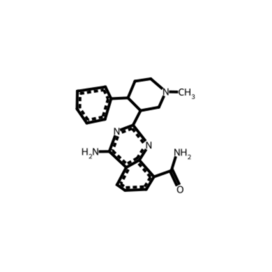 CN1CCC(c2ccccc2)C(c2nc(N)c3cccc(C(N)=O)c3n2)C1